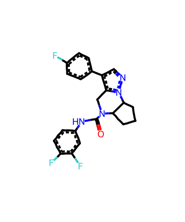 O=C(Nc1ccc(F)c(F)c1)N1Cc2c(-c3ccc(F)cc3)cnn2C2CCCC21